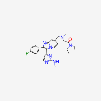 CCN(CC)C(=O)CN(C)Cc1ccn2c(-c3ccnc(NC)n3)c(-c3ccc(F)cc3)nc2c1